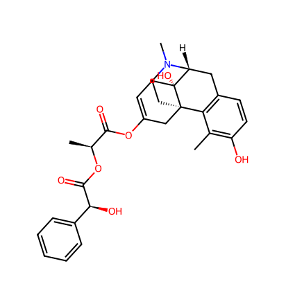 Cc1c(O)ccc2c1[C@]13CCN(C)[C@H](C2)[C@]1(O)CC=C(OC(=O)[C@H](C)OC(=O)[C@@H](O)c1ccccc1)C3